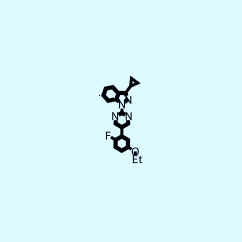 CCOc1ccc(F)c(-c2cnc(-n3nc(C4CC4)c4cc[c]cc43)nc2)c1